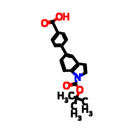 CC(C)(C)OC(=O)n1ccc2cc(-c3ccc(C(=O)O)cc3)ccc21